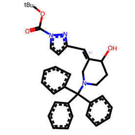 CC(C)(C)OC(=O)n1ccc(/C=C2\CN(C(c3ccccc3)(c3ccccc3)c3ccccc3)CCC2O)n1